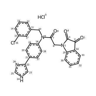 Cl.O=C1C(=O)N(CC(=O)N(Cc2cccc(Cl)c2)c2ccc(-c3c[nH]cn3)cc2)c2ccccc21